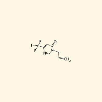 C=CCn1cnc(C(F)(F)F)cc1=O